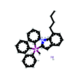 CCCCc1cccc2cc(P(C)(c3ccccc3)(c3ccccc3)c3ccccc3)[nH]c12.I